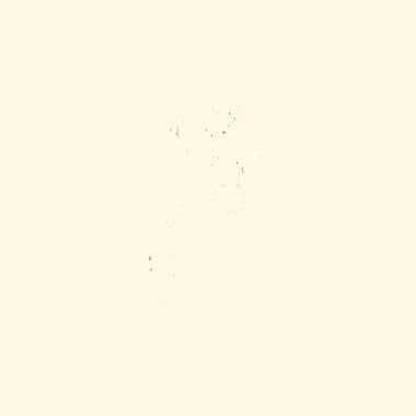 O=[N+]([O-])OC(n1ccnc1)C(OCCCOc1ccc(Cl)cc1)(O[N+](=O)[O-])c1ccc(Cl)cc1Cl